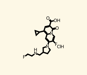 Cl.O=C(O)c1cc(C2CC2)c2cc(N3CCC(CNCCF)C3)c(F)cn2c1=O